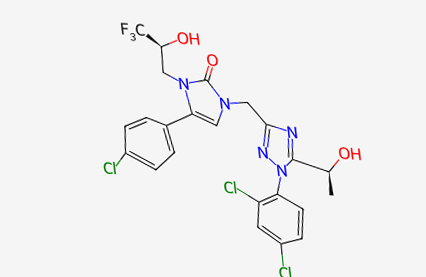 C[C@H](O)c1nc(Cn2cc(-c3ccc(Cl)cc3)n(C[C@H](O)C(F)(F)F)c2=O)nn1-c1ccc(Cl)cc1Cl